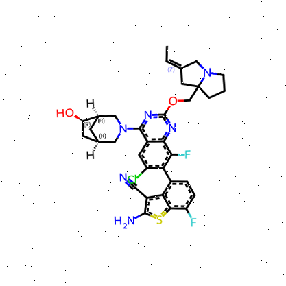 C/C=C1\CN2CCCC2(COc2nc(N3C[C@@H]4C[C@H](C3)[C@H](O)C4)c3cc(Cl)c(-c4ccc(F)c5sc(N)c(C#N)c45)c(F)c3n2)C1